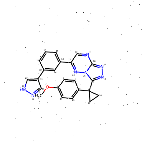 COc1ccc(C2(c3nnc4ncc(-c5cccc(-c6cn[nH]c6)c5)nn34)CC2)cc1